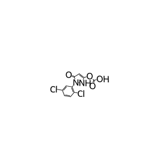 O=C(O)Oc1cc(=O)n(-c2cc(Cl)ccc2Cl)[nH]1